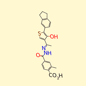 C/C(=N\NC(=O)c1ccc(C(=O)O)c(C)c1)c1csc(-c2ccc3c(c2)CCC3)c1O